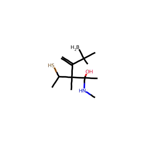 BC(C)(C)C(=C)C(C)(C(C)S)C(C)(O)NC